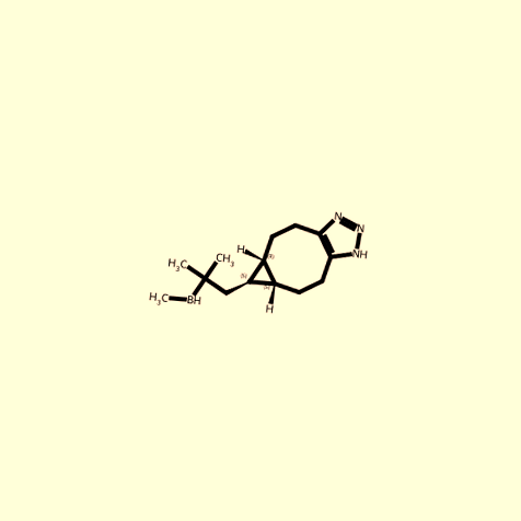 CBC(C)(C)C[C@H]1[C@@H]2CCc3nn[nH]c3CC[C@@H]21